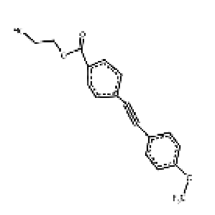 O=C(OCCO)c1ccc(C#Cc2ccc(OC(F)(F)F)cc2)cc1